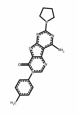 Cc1ccc(-n2cnc3c(sc4nc(N5CCCC5)nc(N)c43)c2=O)cc1